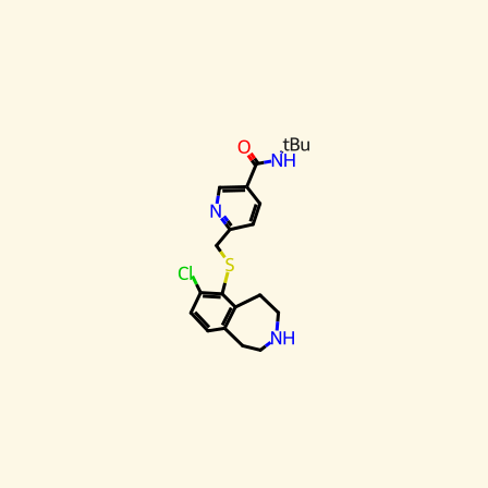 CC(C)(C)NC(=O)c1ccc(CSc2c(Cl)ccc3c2CCNCC3)nc1